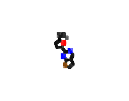 O=[N+]([O-])c1ccc(-c2ncc3ccsc3n2)o1